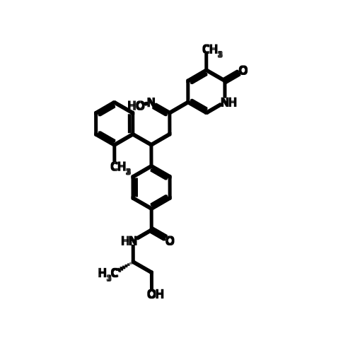 Cc1ccccc1C(C/C(=N\O)c1c[nH]c(=O)c(C)c1)c1ccc(C(=O)N[C@@H](C)CO)cc1